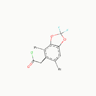 CC(C)c1cc2c(c(C(C)C)c1CC(=O)Cl)OC(F)(F)O2